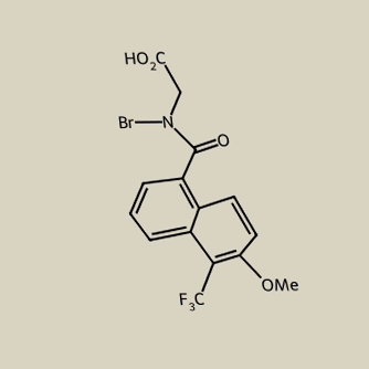 COc1ccc2c(C(=O)N(Br)CC(=O)O)cccc2c1C(F)(F)F